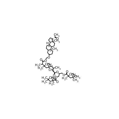 CC(=O)[C@H]1CCC2[C@@H]3CCC4C[C@@H](OCOC(=O)C(C)C(C)(C)CC(C)(C)CC(C)CC(=O)OC(COC(=O)C(C)(C)CC(C)(C)C)COC(=O)C(C)(C)CC(C)(C)C)CC[C@]4(C)C3CC[C@@]21C